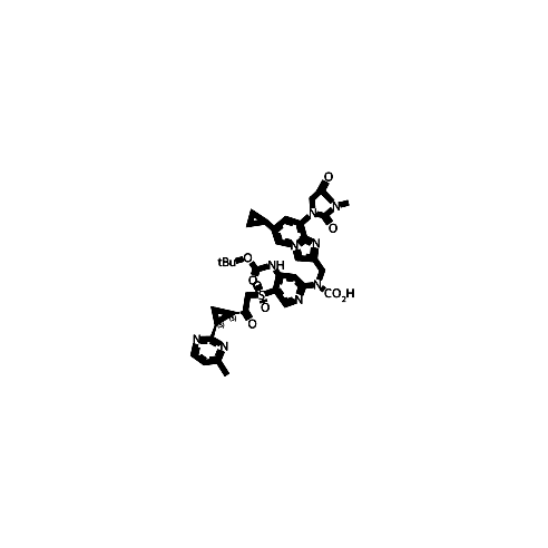 Cc1ccnc([C@H]2C[C@@H]2C(=O)CS(=O)(=O)c2cnc(N(Cc3cn4cc(C5CC5)cc(N5CC(=O)N(C)C5=O)c4n3)C(=O)O)cc2NC(=O)OC(C)(C)C)n1